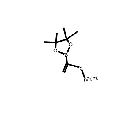 C=C(SCCCCC)B1OC(C)(C)C(C)(C)O1